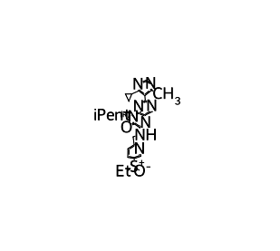 CCC[C@@H](C)n1c(=O)c(NCc2ccc([S+]([O-])CC)cn2)nc2cnc(-c3c(C)ncnc3C3CC3)nc21